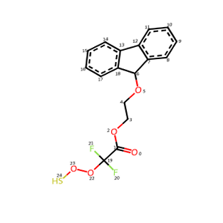 O=C(OCCOC1c2ccccc2-c2ccccc21)C(F)(F)OOS